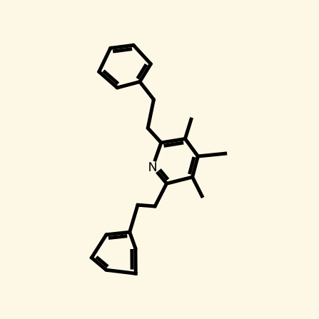 Cc1c(CCc2ccccc2)nc(CCc2ccccc2)c(C)c1C